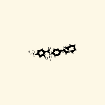 COc1ccc(C(=O)Nc2ccc(-c3cn4ccccc4n3)cc2)c(C)c1